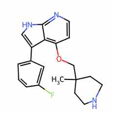 CC1(COc2ccnc3[nH]cc(-c4cccc(F)c4)c23)CCNCC1